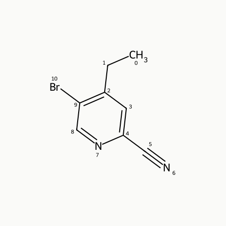 CCc1cc(C#N)ncc1Br